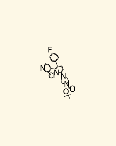 CC(C)(C)OC(=O)N1CCN(c2ccc(-c3ccc(F)cc3)c(-c3ccncc3Cl)n2)CC1